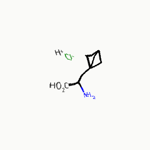 NC(C(=O)O)C12CC(C1)C2.[Cl-].[H+]